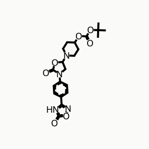 CC(C)(C)OC(=O)OC1CCN(C2CN(c3ccc(-c4noc(=O)[nH]4)cc3)C(=O)O2)CC1